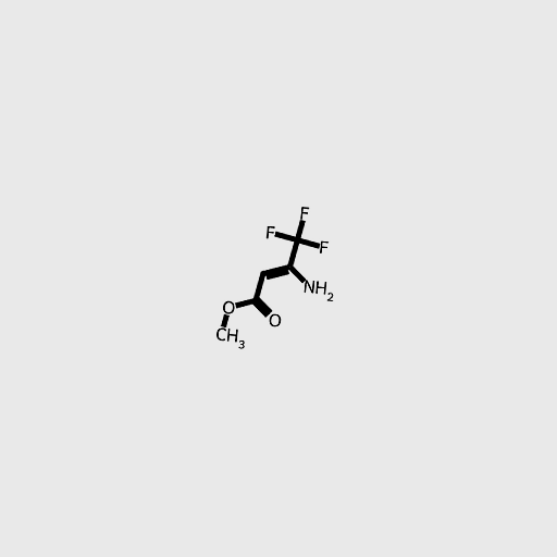 COC(=O)C=C(N)C(F)(F)F